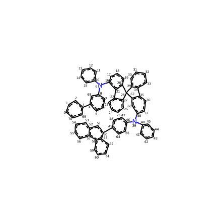 c1ccc(-c2cccc(N(c3ccccc3)c3cccc4c3-c3ccccc3C43c4ccccc4-c4ccc(N(c5ccccc5)c5ccc(-c6cc7ccccc7c7ccccc67)cc5)cc43)c2)cc1